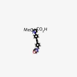 COc1cc(C(=O)O)cc(-c2ccc(C#Cc3ccc(CN4CCOCC4)cc3)cc2)n1